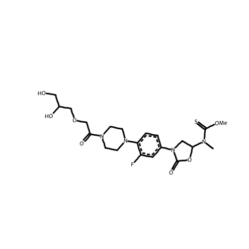 COC(=S)N(C)C1CN(c2ccc(N3CCN(C(=O)COCC(O)CO)CC3)c(F)c2)C(=O)O1